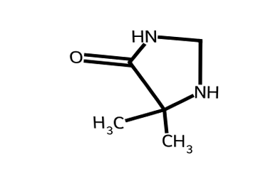 CC1(C)NCNC1=O